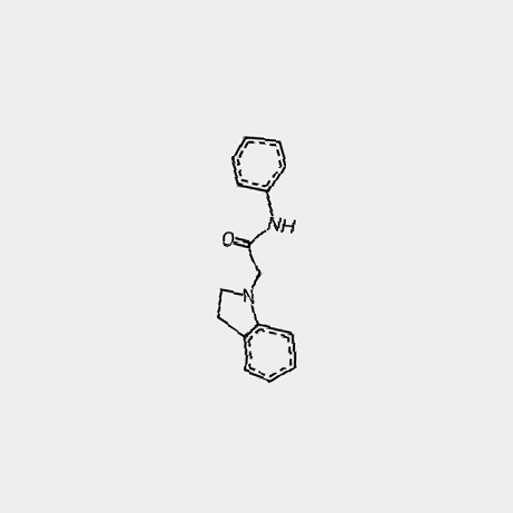 O=C(CN1CCc2ccccc21)Nc1ccccc1